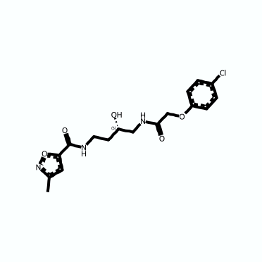 Cc1cc(C(=O)NCC[C@H](O)CNC(=O)COc2ccc(Cl)cc2)on1